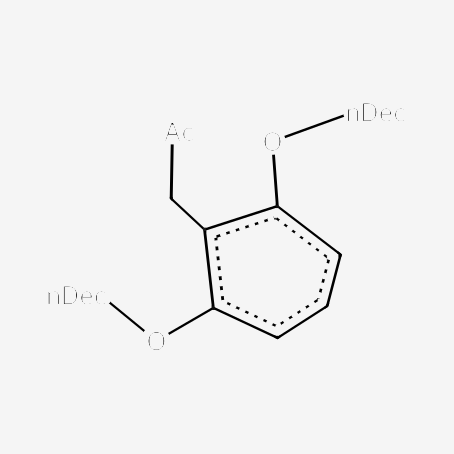 CCCCCCCCCCOc1cccc(OCCCCCCCCCC)c1CC(C)=O